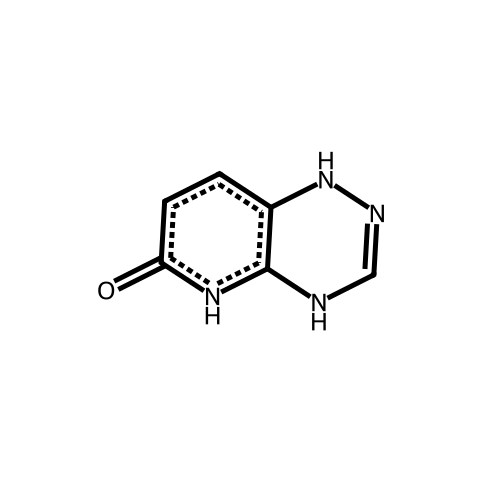 O=c1ccc2c([nH]1)NC=NN2